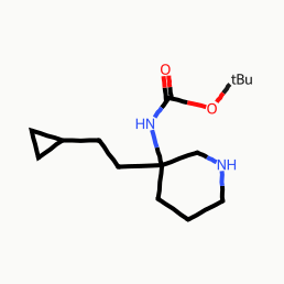 CC(C)(C)OC(=O)NC1(CCC2CC2)CCCNC1